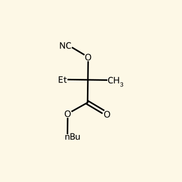 CCCCOC(=O)C(C)(CC)OC#N